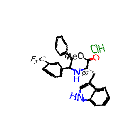 COC(=O)[C@H](Cc1c[nH]c2ccccc12)NC(Cc1ccccc1)c1cccc(C(F)(F)F)c1.Cl